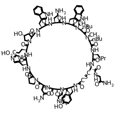 CCCC[C@H]1C(=O)N(C)[C@@H](CCCC)C(=O)N[C@@H](CC(C)C)C(=O)N[C@H](C(=O)NCC(N)=O)CSCC(=O)N[C@@H](Cc2ccc(O)cc2)C(=O)N(CCN)[C@@H](C)C(=O)NC(CC(N)=O)C(=O)N2CCC[C@H]2C(=O)N[C@@H](Cc2cnc[nH]2)C(=O)N[C@@H](CCC(=O)O)C(=O)N2C[C@H](O)C[C@H]2C(=O)N[C@@H](Cc2c[nH]c3ccccc23)C(=O)N[C@@H](CCN)C(=O)N[C@@H](Cc2c[nH]c3ccccc23)C(=O)N1C